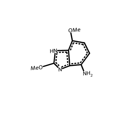 COc1nc2c(N)ccc(OC)c2[nH]1